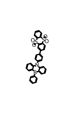 O=S1(=O)c2ccccc2S(=O)(=O)c2cc(-c3ccc(N4c5ccccc5B(c5ccccc5)c5ccccc54)cc3)ccc21